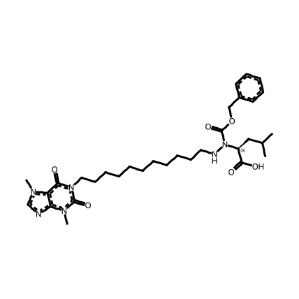 CC(C)C[C@@H](C(=O)O)N(NCCCCCCCCCCCn1c(=O)c2c(ncn2C)n(C)c1=O)C(=O)OCc1ccccc1